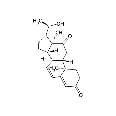 C[C@@H](O)[C@H]1CC[C@H]2[C@@H]3C=CC4=CC(=O)CC[C@]4(C)[C@H]3CC(=O)[C@]12C